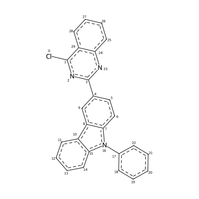 Clc1nc(-c2ccc3c(c2)c2ccccc2n3-c2ccccc2)nc2ccccc12